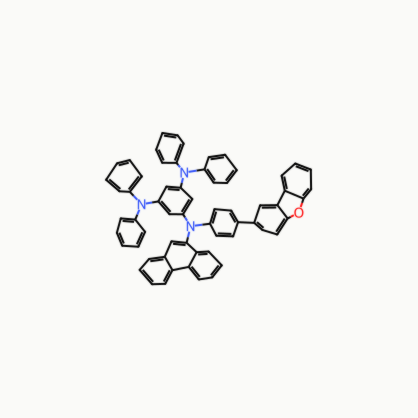 c1ccc(N(c2ccccc2)c2cc(N(c3ccccc3)c3ccccc3)cc(N(c3ccc(-c4ccc5oc6ccccc6c5c4)cc3)c3cc4ccccc4c4ccccc34)c2)cc1